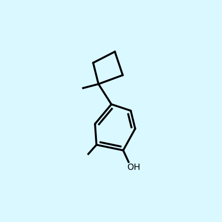 Cc1cc(C2(C)CCC2)ccc1O